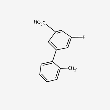 [CH2]c1ccccc1-c1cc(F)cc(C(=O)O)c1